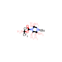 BC1N(C(=O)OC(B)(C(F)(F)F)C(F)(F)F)C(B)(B)CN(C(C)(C)C)C1(B)B